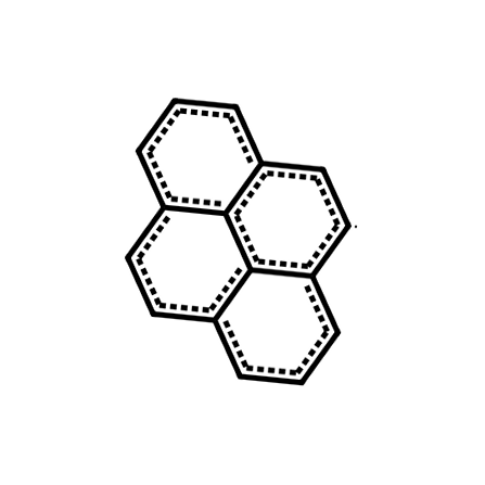 [c]1cc2cccc3ccc4cccc1c4c23